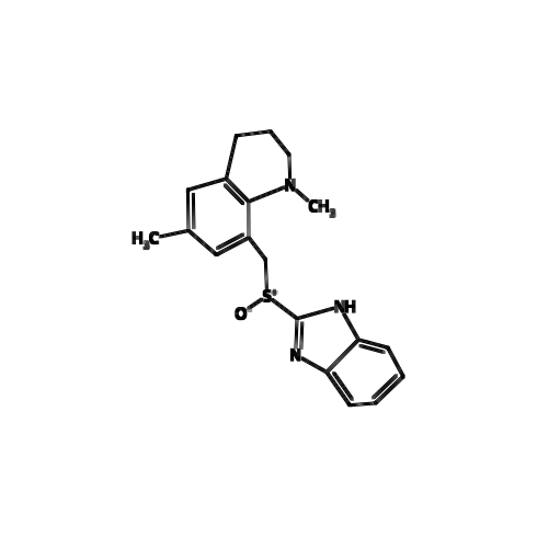 Cc1cc2c(c(C[S+]([O-])c3nc4ccccc4[nH]3)c1)N(C)CCC2